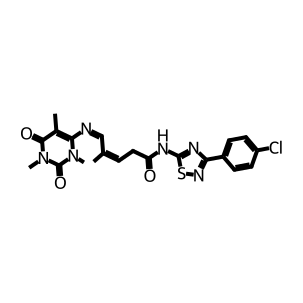 CC(/C=N\c1c(C)c(=O)n(C)c(=O)n1C)=C/CC(=O)Nc1nc(-c2ccc(Cl)cc2)ns1